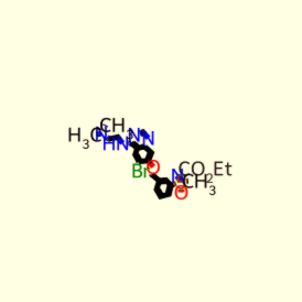 CCOC(=O)N=S(C)(=O)c1cccc(COc2cc3ncnc(NCCN(C)C)c3cc2Br)c1